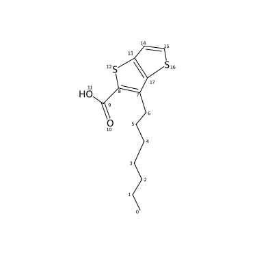 CCCCCCCc1c(C(=O)O)sc2ccsc12